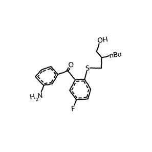 CCCCC(CO)CSc1ccc(F)cc1C(=O)c1cccc(N)c1